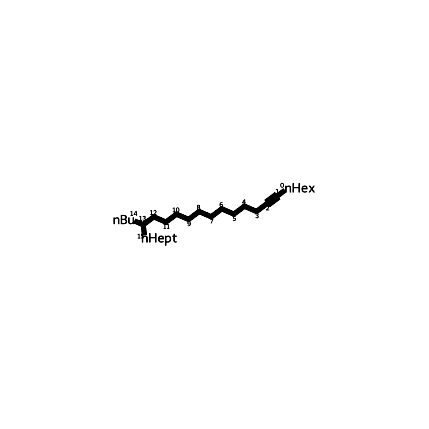 [CH2]CCCCCC#CCCCCCCCCCCC(CCCC)CCCCCC[CH2]